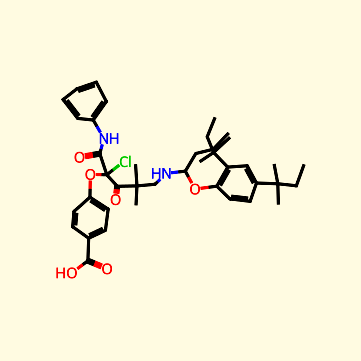 CCCC(NCC(C)(C)C(=O)C(Cl)(Oc1ccc(C(=O)O)cc1)C(=O)Nc1ccccc1)Oc1ccc(C(C)(C)CC)cc1C(C)(C)CC